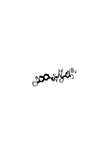 CCCCN1CC(C(=O)Nc2ncc(-c3ccc4cnc(Cl)cc4c3)s2)CC1=O